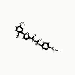 CCCCCOc1ccc(NC(=S)NC(=O)c2ccc(-c3cc(C(F)(F)F)ccc3Cl)o2)cc1